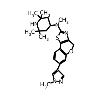 CN(c1nc2c(s1)-c1ccc(-c3cnn(C)c3)cc1OC2)C1CC(C)(C)NC(C)(C)C1